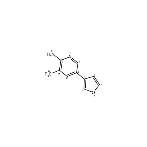 Nc1ncc(-c2ccoc2)cc1C(F)(F)F